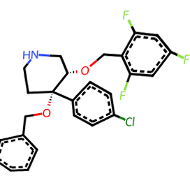 Fc1cc(F)c(CO[C@H]2CNCC[C@]2(OCc2ccccc2)c2ccc(Cl)cc2)c(F)c1